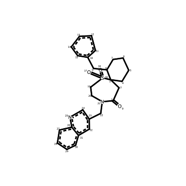 O=C1CC2(CCCCC2Cc2ccccc2)S(=O)(=O)CCN1Cc1cnc2ccccc2c1